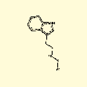 CC(=O)SNCCc1c[nH]c2ccccc12